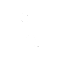 O=[N+]([O-])c1ccc(OCc2ccccn2)cc1C1CC1